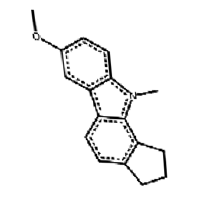 COc1ccc2c(c1)c1ccc3c(c1n2C)CCC3